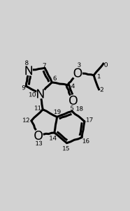 CC(C)OC(=O)c1cncn1C1COc2ccccc21